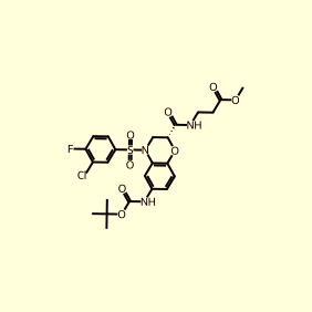 COC(=O)CCNC(=O)[C@H]1CN(S(=O)(=O)c2ccc(F)c(Cl)c2)c2cc(NC(=O)OC(C)(C)C)ccc2O1